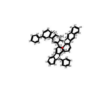 C1=Cc2c(n(C3Nc4sc5ccc(-c6ccccc6)cc5c4N=C3c3ccc4c(c3)c3ccccc3n4-c3ccccc3)c3cc4ccccc4cc23)CC1